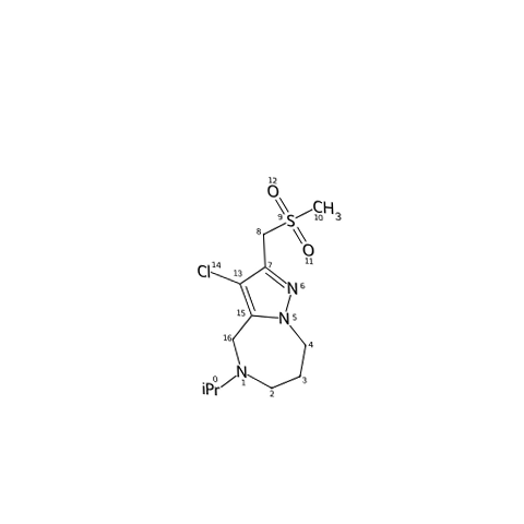 CC(C)N1CCCn2nc(CS(C)(=O)=O)c(Cl)c2C1